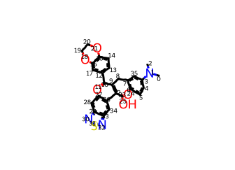 CN(C)c1cccc(CC(C(=O)c2ccc3c(c2)OCCO3)=C(C(=O)O)c2ccc3nsnc3c2)c1